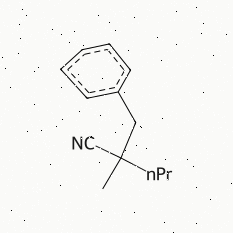 CCCC(C)(C#N)Cc1ccccc1